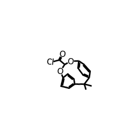 CC1(C)c2ccc(cc2)OC(C(=O)Cl)Oc2ccc1cc2